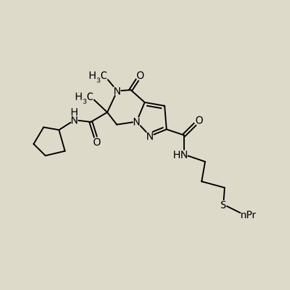 CCCSCCCNC(=O)c1cc2n(n1)CC(C)(C(=O)NC1CCCC1)N(C)C2=O